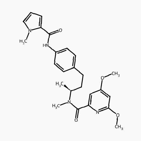 COc1cc(OC)nc(C(=O)N(C)[C@@H](C)CCc2ccc(NC(=O)c3cccn3C)cc2)c1